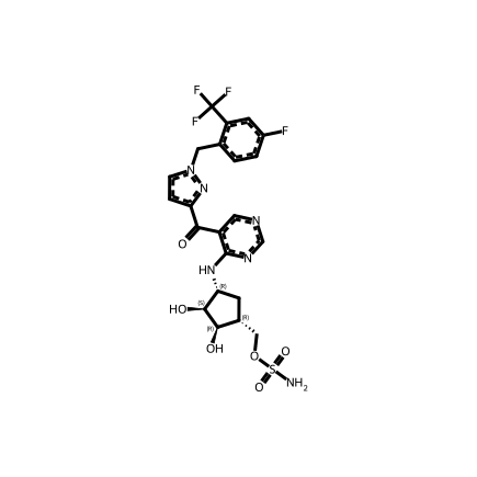 NS(=O)(=O)OC[C@H]1C[C@@H](Nc2ncncc2C(=O)c2ccn(Cc3ccc(F)cc3C(F)(F)F)n2)[C@H](O)[C@@H]1O